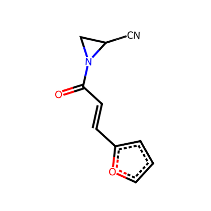 N#CC1CN1C(=O)/C=C/c1ccco1